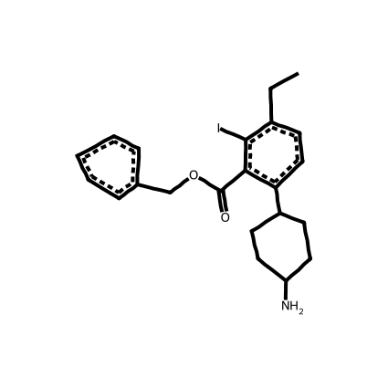 CCc1ccc(C2CCC(N)CC2)c(C(=O)OCc2ccccc2)c1I